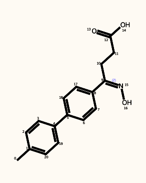 Cc1ccc(-c2ccc(/C(CCC(=O)O)=N\O)cc2)cc1